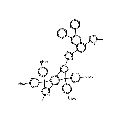 CCCCCCc1ccc(C2(c3ccc(CCCCCC)cc3)c3cc4c(cc3-c3sc(C)cc32)C(c2ccc(CCCCCC)cc2)(c2ccc(CCCCCC)cc2)c2cc(-c3ccc(-c5ccc(-c6ccc(C)s6)c6nc(-c7ccccc7)c(-c7ccccc7)nc56)s3)sc2-4)cc1